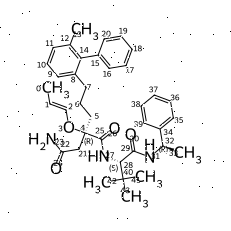 CC=CO[C@](CCCc1cccc(C)c1-c1ccccc1)(CC(N)=O)C(=O)N[C@H](C(=O)N[C@H](C)c1ccccc1)C(C)(C)C